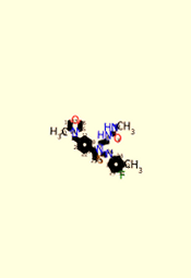 CNC(=O)NCCn1c(-c2ccc(CN3CCOC[C@@H]3C)cc2)cs/c1=N\c1ccc(F)c(C)c1